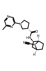 Cc1cncc(N2CC[C@H](C(=O)N[C@@H]3C[C@@H]4CC[C@H]3N4C#N)C2)n1